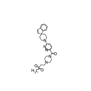 CS(=O)(=O)CCN1CCN(C(=O)c2ccc(N3CCC4(C=Cc5ccccc54)CC3)nn2)CC1